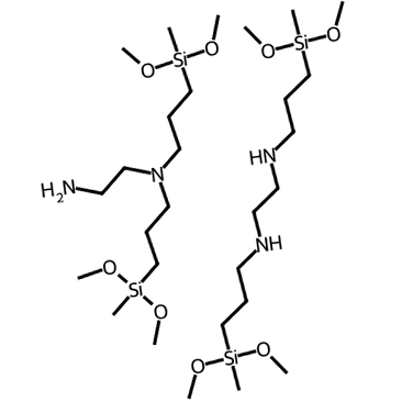 CO[Si](C)(CCCN(CCN)CCC[Si](C)(OC)OC)OC.CO[Si](C)(CCCNCCNCCC[Si](C)(OC)OC)OC